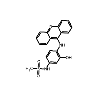 CS(=O)(=O)Nc1ccc(Nc2c3ccccc3nc3ccccc23)c(O)c1